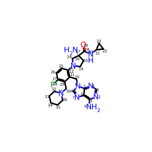 Nc1ncnc2c1ncn2Cc1c(N2CC[C@](N)(C(=O)NC3CC3)C2)ccc(F)c1CN1CCCCC1